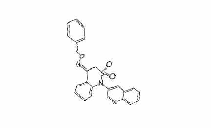 O=S1(=O)CC(=NOCc2ccccc2)c2ccccc2N1c1cnc2ccccc2c1